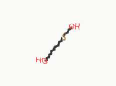 OCCCCCCCCCCCCSCCCCO